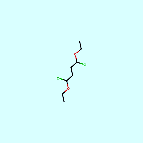 CCOC(Cl)CCC(Cl)OCC